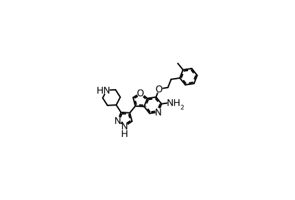 Cc1ccccc1CCOc1c(N)ncc2c(-c3c[nH]nc3C3CCNCC3)coc12